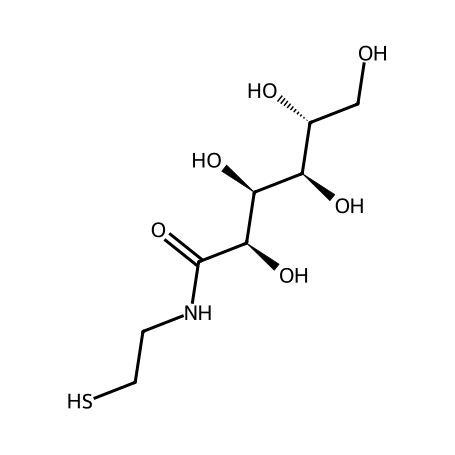 O=C(NCCS)[C@H](O)[C@@H](O)[C@H](O)[C@H](O)CO